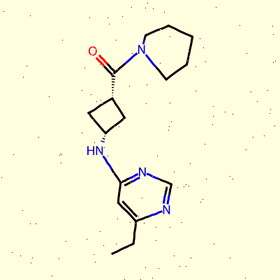 CCc1cc(N[C@H]2C[C@@H](C(=O)N3CCCCC3)C2)ncn1